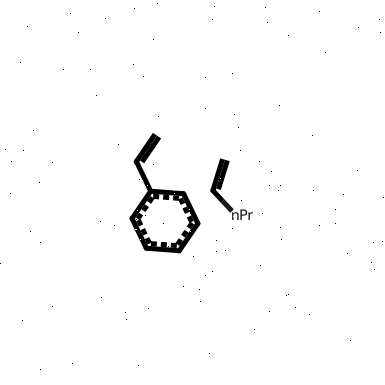 C=CCCC.C=Cc1ccccc1